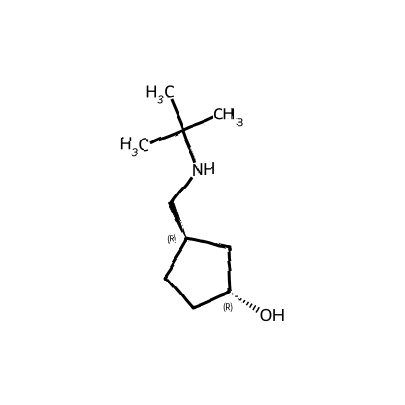 CC(C)(C)NC[C@@H]1CC[C@@H](O)C1